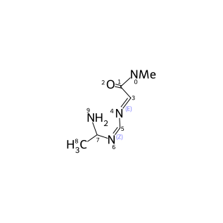 CNC(=O)/C=N/C=N\C(C)N